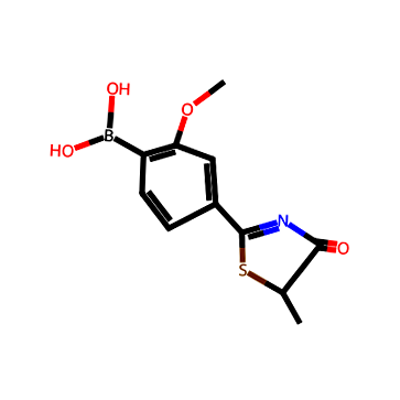 COc1cc(C2=NC(=O)C(C)S2)ccc1B(O)O